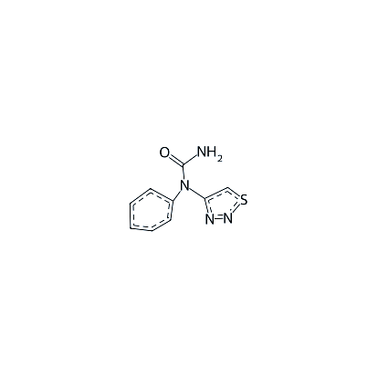 NC(=O)N(c1ccccc1)c1csnn1